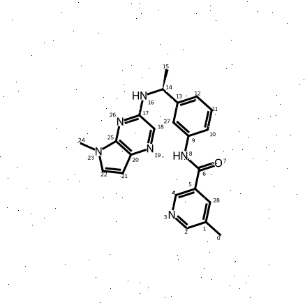 Cc1cncc(C(=O)Nc2cccc([C@H](C)Nc3cnc4ccn(C)c4n3)c2)c1